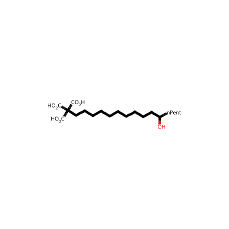 CCCCCC(O)CCCCCCCCCCC(C(=O)O)(C(=O)O)C(=O)O